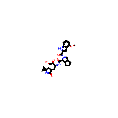 COc1cccc2[nH]c(C(=O)N3CC4CCCC4C3C(=O)NC(CC3CC4(CC4)NC3=O)C(=O)CO)cc12